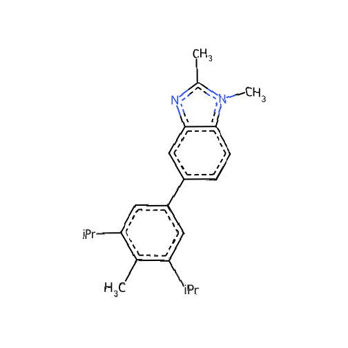 Cc1c(C(C)C)cc(-c2ccc3c(c2)nc(C)n3C)cc1C(C)C